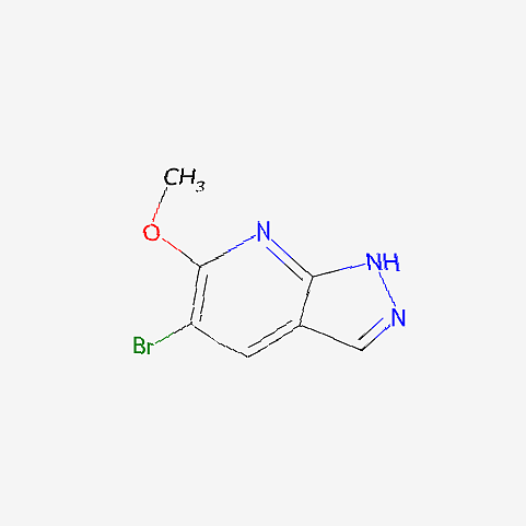 COc1nc2[nH]ncc2cc1Br